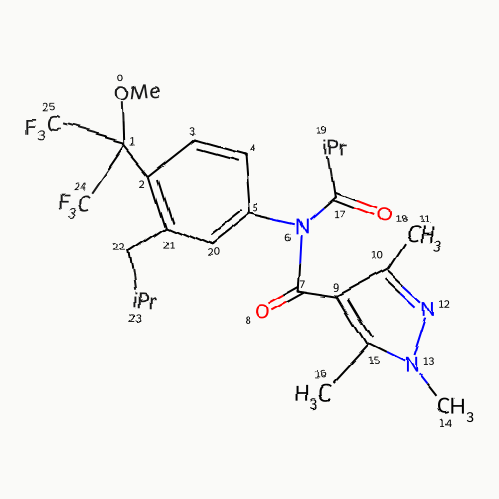 COC(c1ccc(N(C(=O)c2c(C)nn(C)c2C)C(=O)C(C)C)cc1CC(C)C)(C(F)(F)F)C(F)(F)F